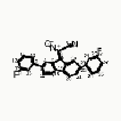 [C-]#[N+]C(C#N)=C1c2cc(-c3cccc(F)c3)ccc2-c2ccc(-c3cccc(F)c3)cc21